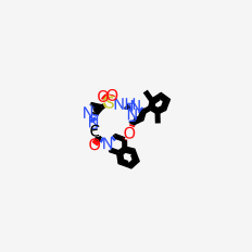 Cc1cccc(C)c1-c1cc2nc(n1)NS(=O)(=O)c1cnn(c1)CC(=O)N1Cc3ccccc3C(C1)O2